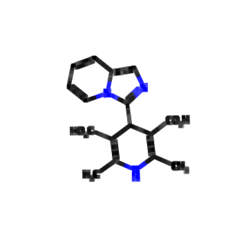 CC1=C(C(=O)O)C(c2ncc3ccccn23)C(C(=O)O)=C(C)N1